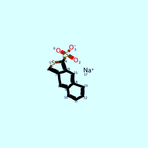 O=S(=O)([O-])c1scc2cc3ccccc3cc12.[Na+]